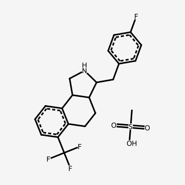 CS(=O)(=O)O.Fc1ccc(CC2NCC3c4cccc(C(F)(F)F)c4CCC23)cc1